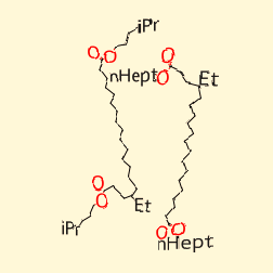 CCC(CCCCCCCCCCCCCCC(=O)OCCCC(C)C)CCC(=O)OCCCC(C)C.CCCCCCCOC(=O)CCCCCCCCCCCCCCC(CC)CCC(=O)OCCCCCCC